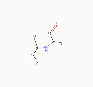 CCC(C)NC(C)[C]=O